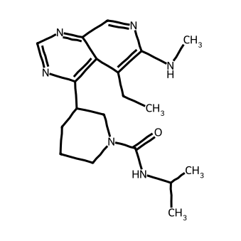 CCc1c(NC)ncc2ncnc(C3CCCN(C(=O)NC(C)C)C3)c12